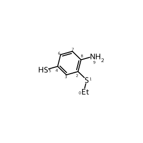 CCSc1cc(S)ccc1N